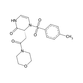 Cc1ccc(S(=O)(=O)N2C=CNC(=O)[C@H]2CC(=O)N2CCOCC2)cc1